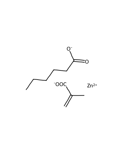 C=C(C)C(=O)[O-].CCCCCC(=O)[O-].[Zn+2]